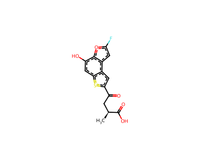 C[C@@H](CC(=O)c1cc2c(cc(O)c3oc(F)cc32)s1)C(=O)O